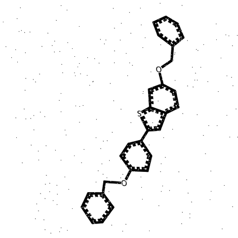 c1ccc(COc2ccc(-c3cc4ccc(OCc5ccccc5)cc4s3)cc2)cc1